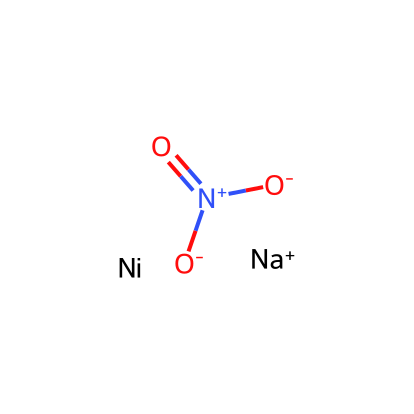 O=[N+]([O-])[O-].[Na+].[Ni]